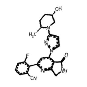 C[C@H]1CC[C@@H](O)CN1c1ccn(-c2cc(-c3c(F)cccc3C#N)nc3c2C(=O)NC3)n1